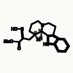 CC[C@]1(CC(=NO)C(=O)OC)CCCN2CCc3c([nH]c4ccccc34)[C@H]21